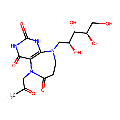 CC(=O)CN1C(=O)CCN(C[C@H](O)[C@H](O)[C@H](O)CO)c2[nH]c(=O)[nH]c(=O)c21